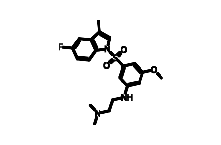 COc1cc(NCCN(C)C)cc(S(=O)(=O)n2cc(C)c3cc(F)ccc32)c1